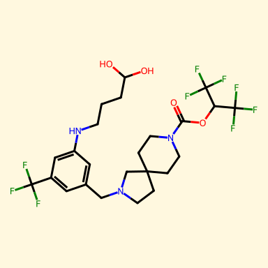 O=C(OC(C(F)(F)F)C(F)(F)F)N1CCC2(CCN(Cc3cc(NCCCC(O)O)cc(C(F)(F)F)c3)C2)CC1